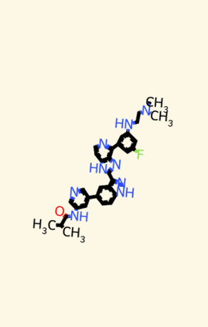 CC(C)C(=O)Nc1cncc(-c2ccc3[nH]nc(-c4nc5c(-c6cc(F)cc(NCCN(C)C)c6)nccc5[nH]4)c3c2)c1